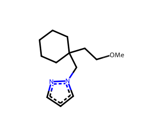 COCCC1(Cn2cccn2)CCCCC1